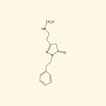 O=C(O)NCCC1=NN(CCc2ccccc2)C(=O)C1